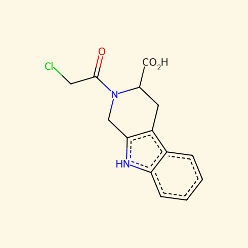 O=C(O)C1Cc2c([nH]c3ccccc23)CN1C(=O)CCl